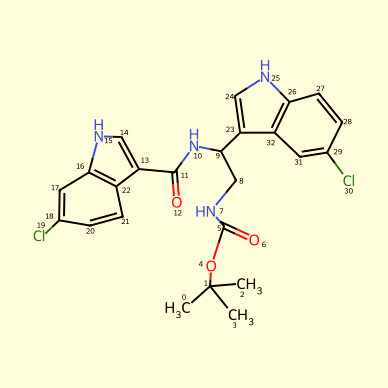 CC(C)(C)OC(=O)NCC(NC(=O)c1c[nH]c2cc(Cl)ccc12)c1c[nH]c2ccc(Cl)cc12